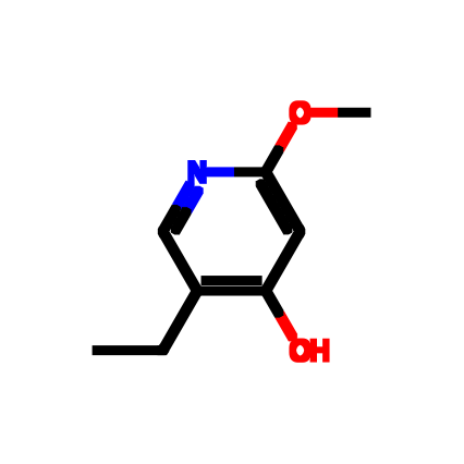 CCc1cnc(OC)cc1O